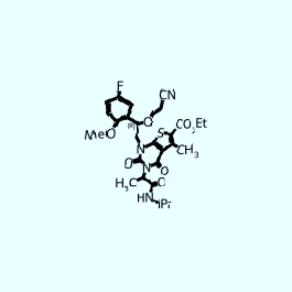 CCOC(=O)c1sc2c(c1C)c(=O)n(C(C)C(=O)NC(C)C)c(=O)n2C[C@H](OCCC#N)c1cc(F)ccc1OC